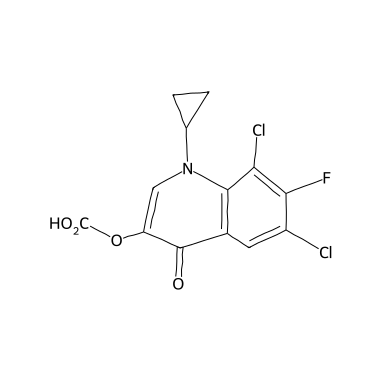 O=C(O)Oc1cn(C2CC2)c2c(Cl)c(F)c(Cl)cc2c1=O